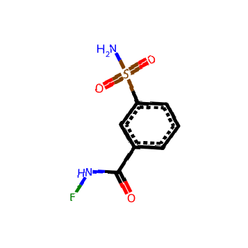 NS(=O)(=O)c1cccc(C(=O)NF)c1